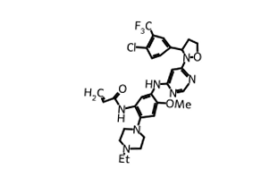 C=CC(=O)Nc1cc(Nc2cc(N3OCCC3c3ccc(Cl)c(C(F)(F)F)c3)ncn2)c(OC)cc1N1CCN(CC)CC1